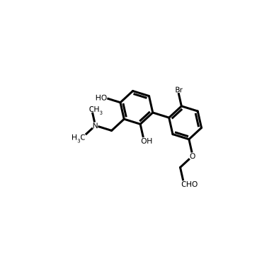 CN(C)Cc1c(O)ccc(-c2cc(OCC=O)ccc2Br)c1O